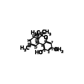 Bc1cc(O)c2c(c1)OC(C)(C)[C@@H]1CCC(C)=CC21